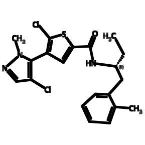 CC[C@H](Cc1ccccc1C)NC(=O)c1cc(-c2c(Cl)cnn2C)c(Cl)s1